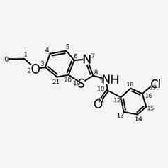 CCOc1ccc2nc(NC(=O)c3cccc(Cl)c3)sc2c1